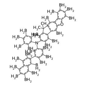 Bc1c(B)c(B)c(N(c2c(B)c(B)c(B)c(-c3c(B)c(B)c4c(B)c(B)c(B)c(B)c4c3B)c2B)c2c(B)c(B)c3c(c2B)C(C)(C)c2c-3c(B)c3oc4c(B)c(B)c(B)c(B)c4c3c2B)c(B)c1B